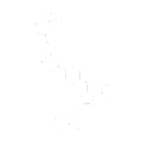 CC(C)(C)C#Cc1cc(NC2CCN(C(=O)OC3(C)CN(C(=O)OC(C)(C)C)C3)CC2)c(C(=O)O)s1